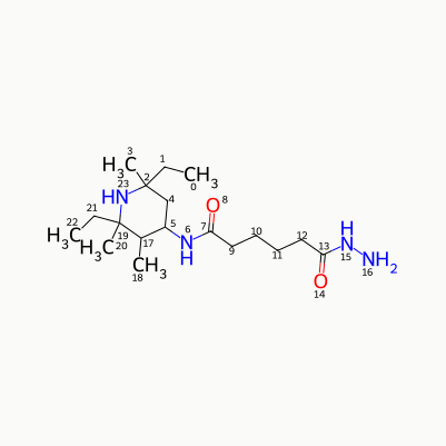 CCC1(C)CC(NC(=O)CCCCC(=O)NN)C(C)C(C)(CC)N1